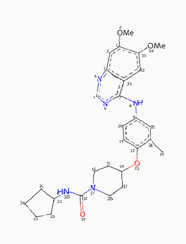 COc1cc2ncnc(Nc3ccc(OC4CCN(C(=O)NC5CCCC5)CC4)c(C)c3)c2cc1OC